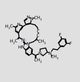 C=C1/N=C2\Nc3ccc(C(=C)N4CCC(N(C)CCc5cc(F)cc(F)c5)C4)cc3N2C[C@H](C)CCCCc2c(cnn2C)-c2cc1cc(C)n2